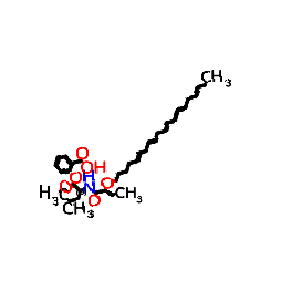 CCC=CCC=CCC=CCC=CCC=CCCCCOC(CC)C(=O)N[C@@H](CC(C)C)C(=O)Oc1ccccc1C(=O)O